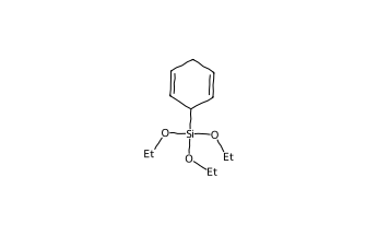 CCO[Si](OCC)(OCC)C1C=CCC=C1